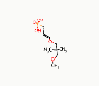 COCC(C)(C)COC=CCP(=O)(O)O